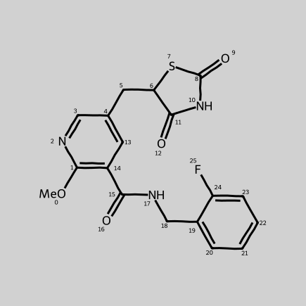 COc1ncc(CC2SC(=O)NC2=O)cc1C(=O)NCc1ccccc1F